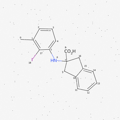 Cc1cccc(NC2(C(=O)O)Cc3ccccc3C2)c1I